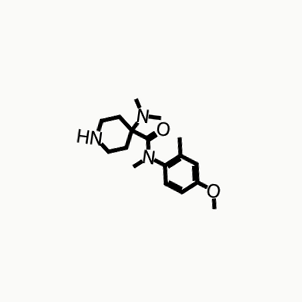 COc1ccc(N(C)C(=O)C2(N(C)C)CCNCC2)c(C)c1